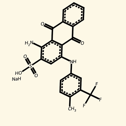 Cc1ccc(Nc2cc(S(=O)(=O)O)c(N)c3c2C(=O)c2ccccc2C3=O)cc1C(F)(F)F.[NaH]